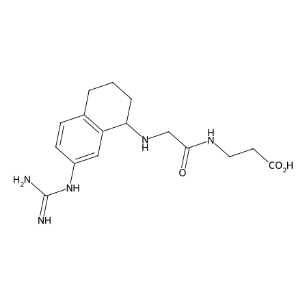 N=C(N)Nc1ccc2c(c1)C(NCC(=O)NCCC(=O)O)CCC2